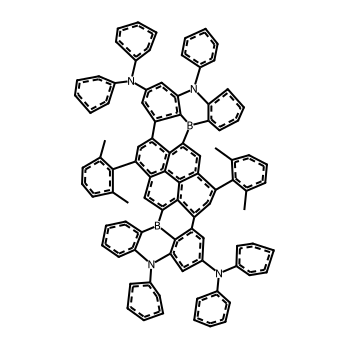 Cc1cccc(C)c1-c1cc2c3c(cc4c(-c5c(C)cccc5C)cc5c6c(cc1c3c46)B1c3ccccc3N(c3ccccc3)c3cc(N(c4ccccc4)c4ccccc4)cc-5c31)B1c3ccccc3N(c3ccccc3)c3cc(N(c4ccccc4)c4ccccc4)cc-2c31